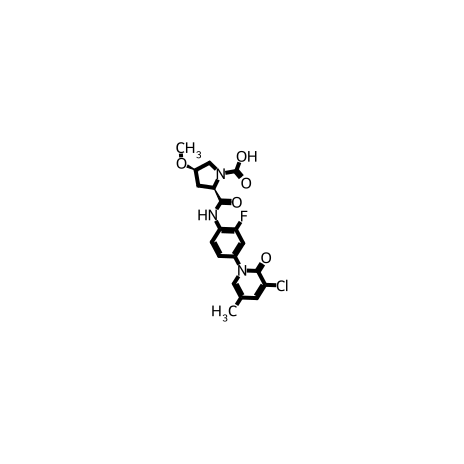 CO[C@@H]1C[C@H](C(=O)Nc2ccc(-n3cc(C)cc(Cl)c3=O)cc2F)N(C(=O)O)C1